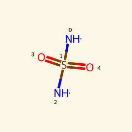 [NH]S([NH])(=O)=O